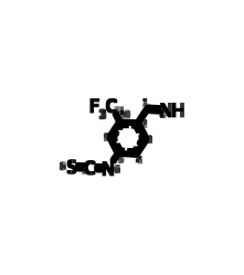 N=Cc1ccc(N=C=S)cc1C(F)(F)F